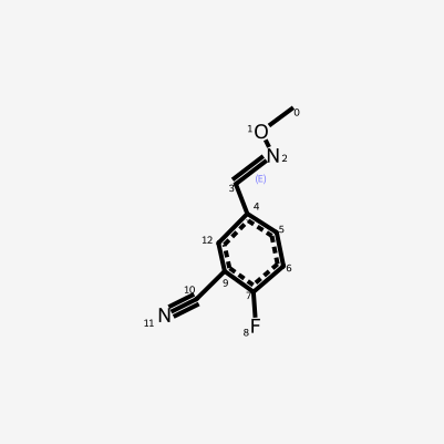 CO/N=C/c1ccc(F)c(C#N)c1